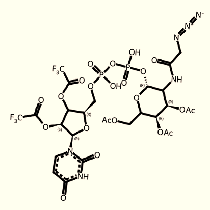 CC(=O)OCC1O[C@H](OP(=O)(O)OP(=O)(O)OC[C@H]2O[C@@H](n3ccc(=O)[nH]c3=O)[C@@H](OC(=O)C(F)(F)F)C2OC(=O)C(F)(F)F)C(NC(=O)CN=[N+]=[N-])[C@@H](OC(C)=O)[C@H]1OC(C)=O